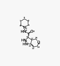 O=C(NN1CCCCC1)C1NNC2=CCOCC21